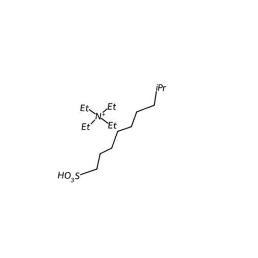 CC(C)CCCCCCCS(=O)(=O)O.CC[N+](CC)(CC)CC